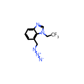 [N-]=[N+]=NCc1cccc2ncn(CC(F)(F)F)c12